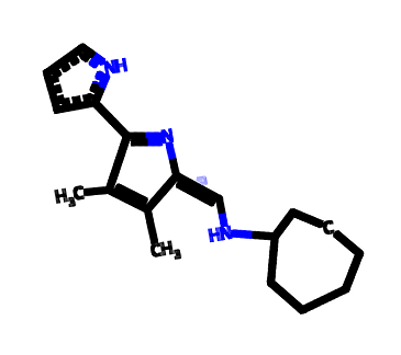 CC1=C(C)/C(=C\NC2CCCCCC2)N=C1c1ccc[nH]1